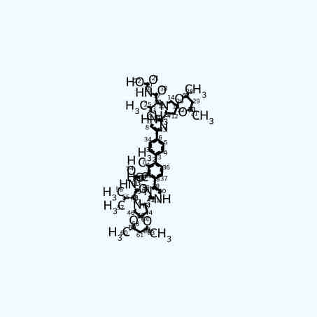 Cc1c(-c2ccc(-c3c[nH]c([C@@H]4CC5(CN4[C@H](C(=O)NC(=O)O)C(C)C)O[C@@H](C)C[C@H](C)O5)n3)cc2)ccc(-c2c[nH]c([C@@H]3CC4(CN3[C@H](C(=O)NC(=O)O)C(C)C)O[C@@H](C)C[C@H](C)O4)n2)c1C